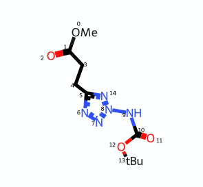 COC(=O)CCc1nnn(NC(=O)OC(C)(C)C)n1